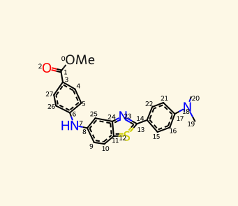 COC(=O)c1ccc(Nc2ccc3sc(-c4ccc(N(C)C)cc4)nc3c2)cc1